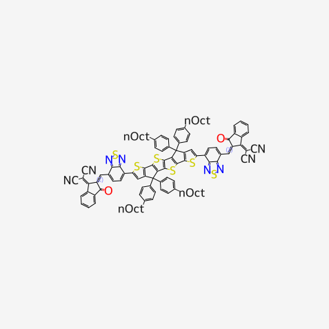 CCCCCCCCc1ccc(C2(c3ccc(CCCCCCCC)cc3)c3cc(-c4ccc(/C=C5\C(=O)c6ccccc6C5=C(C#N)C#N)c5nsnc45)sc3-c3sc4c5c(sc4c32)-c2sc(-c3ccc(/C=C4\C(=O)c6ccccc6C4=C(C#N)C#N)c4nsnc34)cc2C5(c2ccc(CCCCCCCC)cc2)c2ccc(CCCCCCCC)cc2)cc1